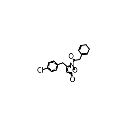 O=C(CC1=CCCC=C1)n1oc(=O)cc1Cc1ccc(Cl)cc1